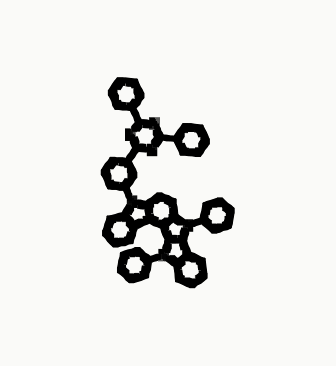 c1ccc(-c2nc(-c3ccccc3)nc(-c3cccc(-n4c5ccccc5c5c6c(ccc54)n(-c4ccccc4)c4c5ccccc5n(-c5ccccc5)c64)c3)n2)cc1